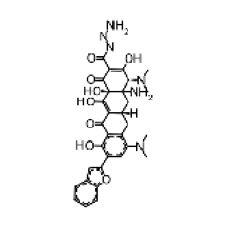 CN(C)c1cc(-c2cc3ccccc3o2)c(O)c2c1C[C@H]1C[C@@]3(N)[C@H](N(C)C)C(O)=C(C(=O)N=NN)C(=O)[C@@]3(O)C(O)=C1C2=O